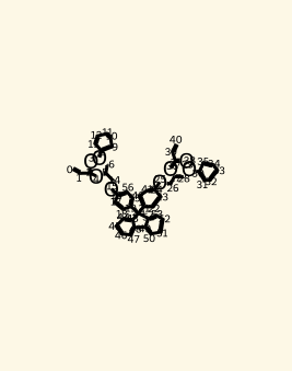 C=CC(=O)OC(COc1ccccc1)COc1ccc(C2(c3ccc(OCC(COc4ccccc4)OC(=O)C=C)cc3)c3ccccc3-c3ccccc32)cc1